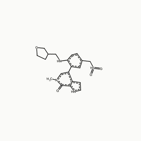 Cn1cc(-c2cc(C[SH](=O)=O)ccc2NCC2CCOC2)c2cc[nH]c2c1=O